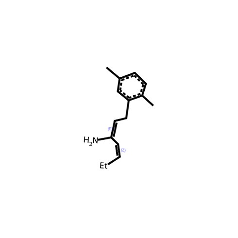 CC/C=C\C(N)=C/Cc1cc(C)ccc1C